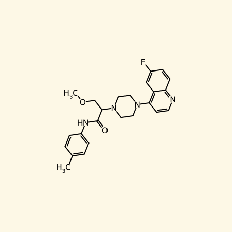 COCC(C(=O)Nc1ccc(C)cc1)N1CCN(c2ccnc3ccc(F)cc23)CC1